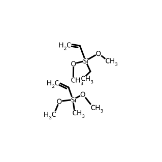 C=C[Si](C)(OC)OC.C=C[Si](CC)(OC)OC